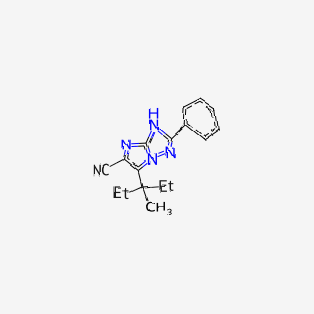 CCC(C)(CC)c1c(C#N)nc2[nH]c(-c3ccccc3)nn12